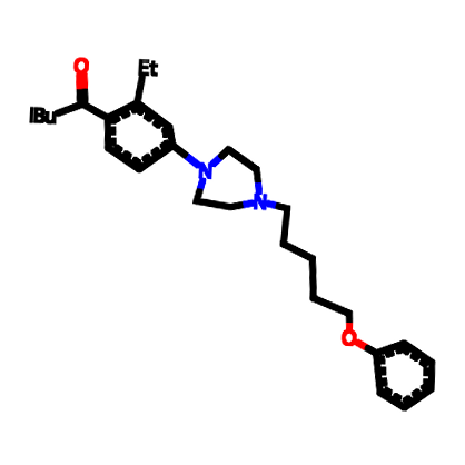 CCc1cc(N2CCN(CCCCCOc3ccccc3)CC2)ccc1C(=O)C(C)CC